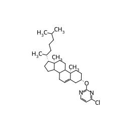 CC(C)CCCC(C)[C@H]1CCC2C3CC=C4C[C@@H](Oc5nccc(Cl)n5)CC[C@]4(C)C3CC[C@@]21C